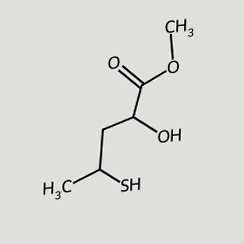 COC(=O)C(O)CC(C)S